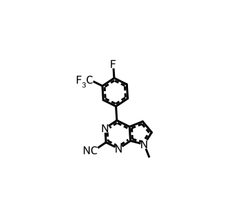 Cn1ccc2c(-c3ccc(F)c(C(F)(F)F)c3)nc(C#N)nc21